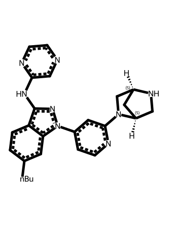 CCCCc1ccc2c(Nc3cnccn3)nn(-c3ccnc(N4C[C@@H]5C[C@H]4CN5)c3)c2c1